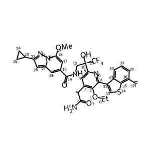 CCOc1c(CC(N)=O)cc([C@@](O)(CNC(=O)c2cc(OC)n3nc(C4CC4)cc3c2)C(F)(F)F)nc1-c1csc2c(F)cccc12